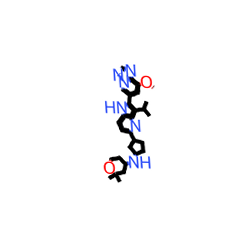 COc1cc(-c2[nH]c3ccc(C4CCC(NC5CCOC(C)(C)C5)C4)nc3c2C(C)C)cn2ncnc12